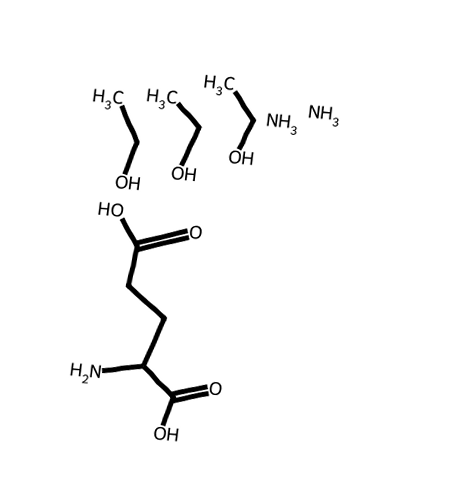 CCO.CCO.CCO.N.N.NC(CCC(=O)O)C(=O)O